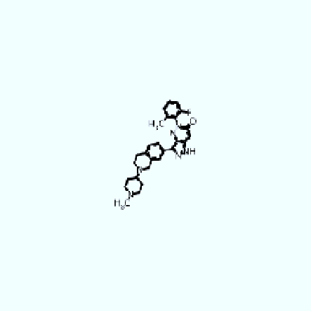 Cc1cccc(F)c1-n1nc2c(-c3ccc4c(c3)CN(C3CCN(C)CC3)CC4)n[nH]c2cc1=O